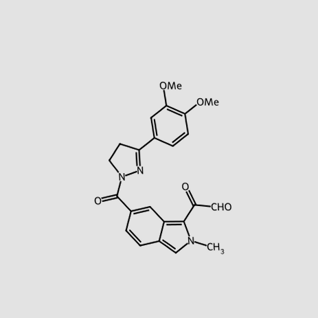 COc1ccc(C2=NN(C(=O)c3ccc4cn(C)c(C(=O)C=O)c4c3)CC2)cc1OC